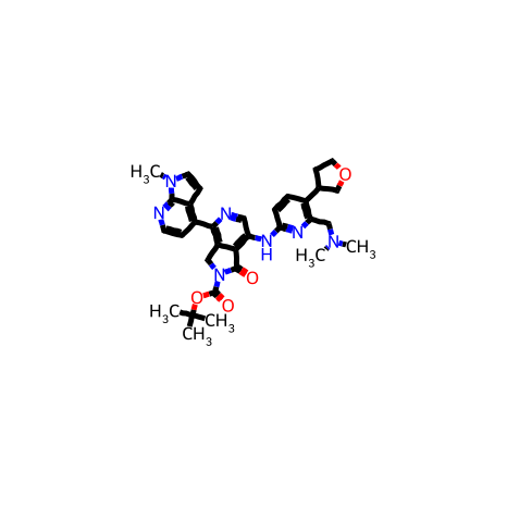 CN(C)Cc1nc(Nc2cnc(-c3ccnc4c3ccn4C)c3c2C(=O)N(C(=O)OC(C)(C)C)C3)ccc1C1CCOC1